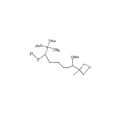 CCOC(CCCC(OC)C1(C)COC1)[Si](OC)(OC)OC